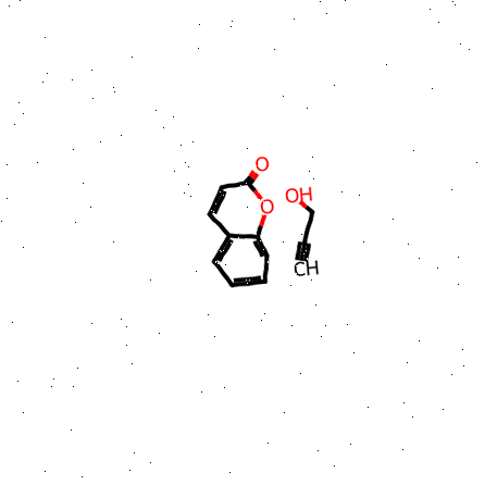 C#CCO.O=c1ccc2ccccc2o1